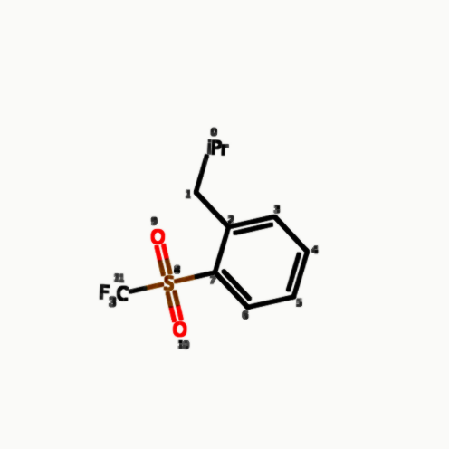 CC(C)Cc1ccccc1S(=O)(=O)C(F)(F)F